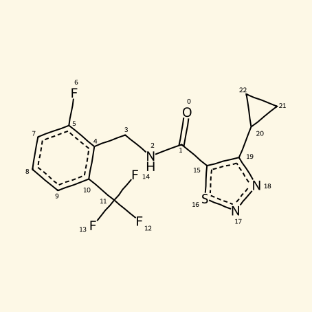 O=C(NCc1c(F)cccc1C(F)(F)F)c1snnc1C1CC1